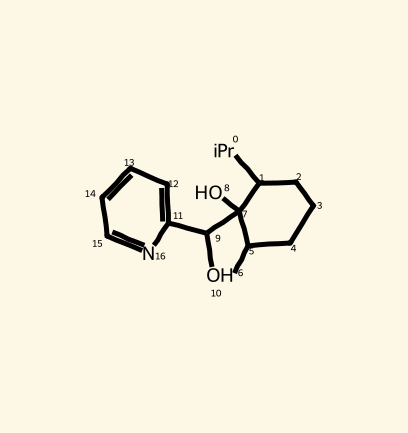 CC(C)C1CCCC(C)C1(O)C(O)c1ccccn1